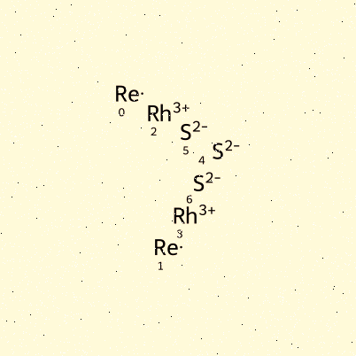 [Re].[Re].[Rh+3].[Rh+3].[S-2].[S-2].[S-2]